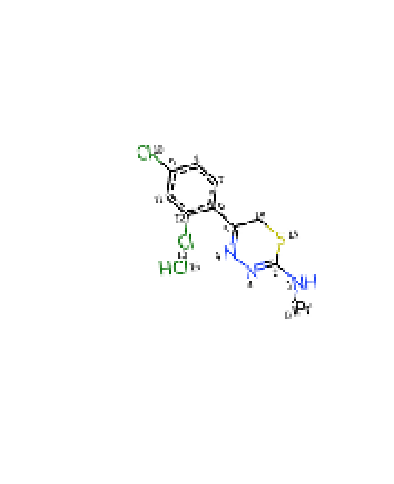 CC(C)NC1=NN=C(c2ccc(Cl)cc2Cl)CS1.Cl